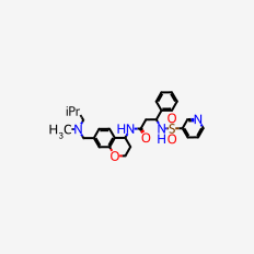 CC(C)CN(C)Cc1ccc2c(c1)OCCC2NC(=O)CC(NS(=O)(=O)c1cccnc1)c1ccccc1